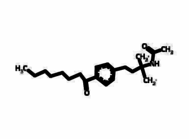 [CH2]C([CH2])(CCc1ccc(C(=O)CCCCCCC)cc1)NC(C)=O